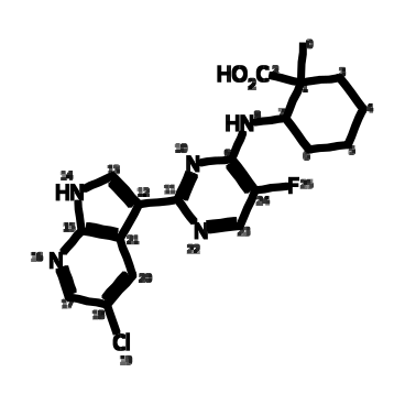 CC1(C(=O)O)CCCCC1Nc1nc(-c2c[nH]c3ncc(Cl)cc23)ncc1F